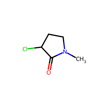 CN1CCC(Cl)C1=O